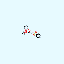 Cc1ccc(S(=O)(=O)OC[C@H](COC(C)(C)C)OC2CCCCO2)cc1